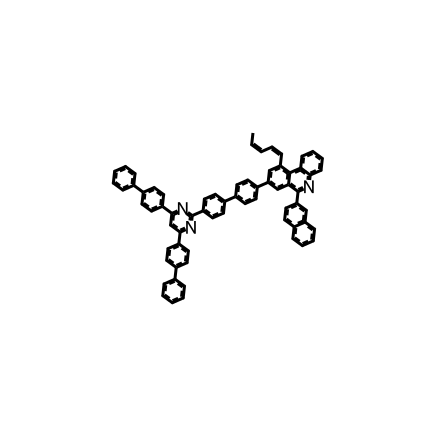 C/C=C\C=C/c1cc(-c2ccc(-c3ccc(-c4nc(-c5ccc(-c6ccccc6)cc5)cc(-c5ccc(-c6ccccc6)cc5)n4)cc3)cc2)cc2c(-c3ccc4ccccc4c3)nc3ccccc3c12